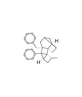 CC1C[C@H]2C3(c4ccccc4)[C@@]4(Cc5ccccc5)CC5C[C@H]6C5C[C@@]64[C@@]123